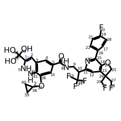 N/C(=C\c1cc(C(=O)NCC(c2cc3c(c(-c4ccc(F)cc4)n2)OCC3(CF)CF)C(F)(F)F)cc(OC2CC2)c1N)C(O)(O)O